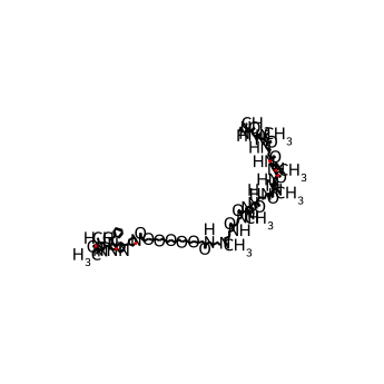 Cc1cc(-c2nc3cnc(C4CCN(C(=O)COCCOCCOCCOCCOCCC(=O)NCCCN(C)CCCNC(=O)CCNC(=O)c5nc(NC(=O)CCNC(=O)c6nc(NC(=O)c7nc(NC(=O)CCNC(=O)c8nc(NC(=O)c9nccn9C)cn8C)cn7C)cn6C)cn5C)CC4)cc3n2[C@@H](C)c2ccccc2)nn(C)c1=O